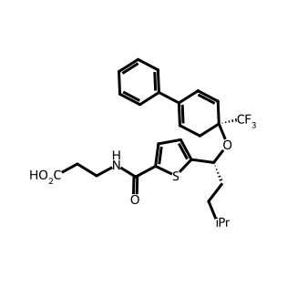 CC(C)CC[C@@H](O[C@]1(C(F)(F)F)C=CC(c2ccccc2)=CC1)c1ccc(C(=O)NCCC(=O)O)s1